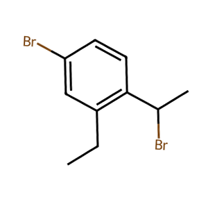 CCc1cc(Br)ccc1C(C)Br